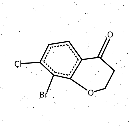 O=C1CCOc2c1ccc(Cl)c2Br